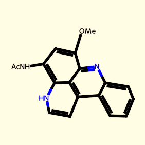 COc1cc(NC(C)=O)c2c3c(c4ccccc4nc13)C=CN2